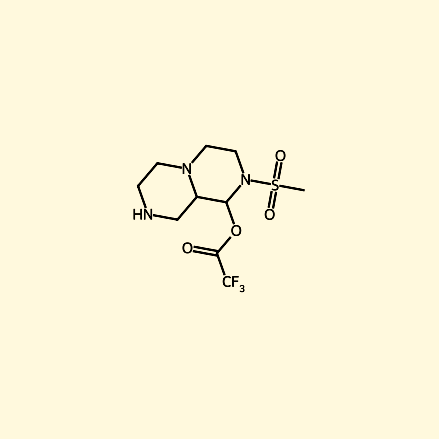 CS(=O)(=O)N1CCN2CCNCC2C1OC(=O)C(F)(F)F